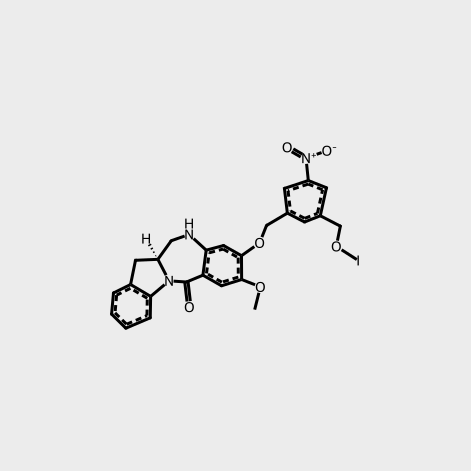 COc1cc2c(cc1OCc1cc(COI)cc([N+](=O)[O-])c1)NC[C@@H]1Cc3ccccc3N1C2=O